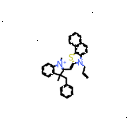 C=CCN1/C(=C/C2=[N+](C)c3ccccc3C2(C)Cc2ccccc2)Sc2c1ccc1ccccc21